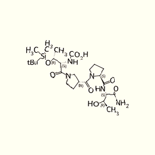 C[C@@H](O)[C@H](NC(=O)[C@@H]1CCCN1C(=O)[C@@H]1CCN(C(=O)[C@@H](NC(=O)O)[C@@H](C)O[Si](C)(C)C(C)(C)C)C1)C(N)=O